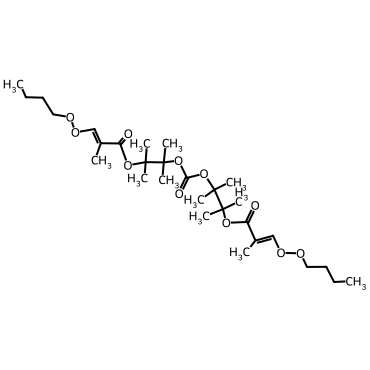 CCCCOO/C=C(\C)C(=O)OC(C)(C)C(C)(C)OC(=O)OC(C)(C)C(C)(C)OC(=O)/C(C)=C/OOCCCC